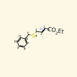 CCOC(=O)/C=C/CSCc1ccccc1